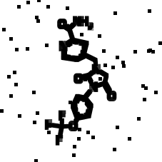 NC(=O)c1cc(CN2CC(=O)N(c3ccc(OC(F)(F)F)cc3)C2=O)ccn1